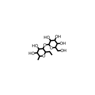 CCC1OC(C)C(O)C(O)C1OC1OC(CO)C(O)C(O)C1O